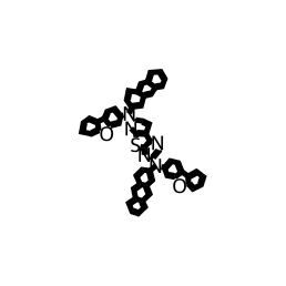 c1ccc2cc3cc(N(c4ccc5c(c4)oc4ccccc45)c4ccc5c(n4)sc4nc(N(c6ccc7cc8ccccc8cc7c6)c6ccc7c(c6)oc6ccccc67)cnc45)ccc3cc2c1